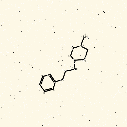 NN1CCC(NCCc2ccccc2)CC1